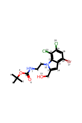 CC(C)(C)OC(=O)NCCn1c(CO)cc2c(Br)cc(Cl)c(Cl)c21